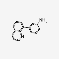 Nc1cccc(-c2cccc3cccnc23)c1